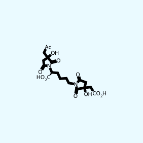 CC(=O)CC1(O)CC(=O)N([C@@H](CCCCN2C(=O)CC(O)(CC(=O)O)C2=O)C(=O)O)C1=O